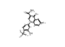 NC(=O)c1cn(-c2ccc(C(F)(F)F)c(O)c2)c2ccc(F)cc2c1=O